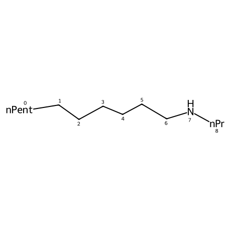 CCCCCCCCCCCNCCC